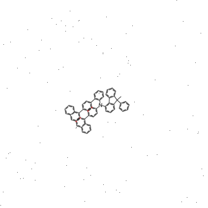 CC1(c2ccccc2)c2ccccc2-c2c(N(c3ccc(-c4cccc5ccccc45)cc3)c3ccccc3-c3ccc(-c4cccc5ccccc45)cc3)cccc21